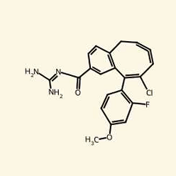 COc1ccc(/C2=C(\Cl)C=C=CCc3ccc(C(=O)N=C(N)N)cc32)c(F)c1